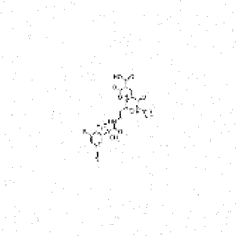 CC(C)(C(=O)NCCC(=O)N[C@@H](CC(C(=O)O)C(=O)O)C(=O)NC1CCC1)c1cc(F)cc(C#N)c1